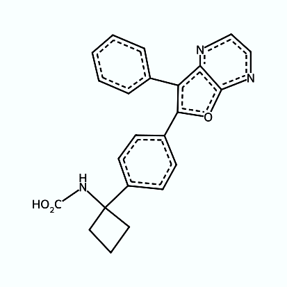 O=C(O)NC1(c2ccc(-c3oc4nccnc4c3-c3ccccc3)cc2)CCC1